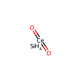 [O]=[Ce]=[O].[SiH4]